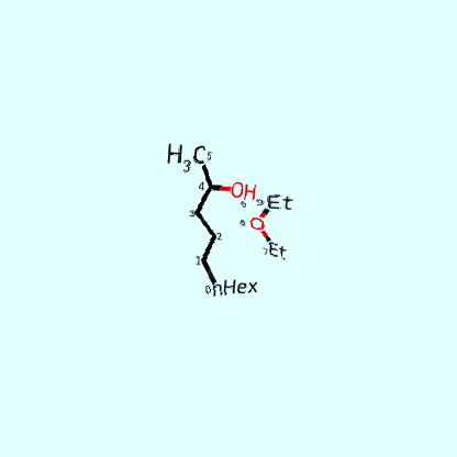 CCCCCCCCCC(C)O.CCOCC